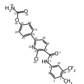 Cc1ccc(NC(=O)c2ccc(-c3ccc(OC(N)=O)cc3)nc2Cl)cc1C(F)(F)F